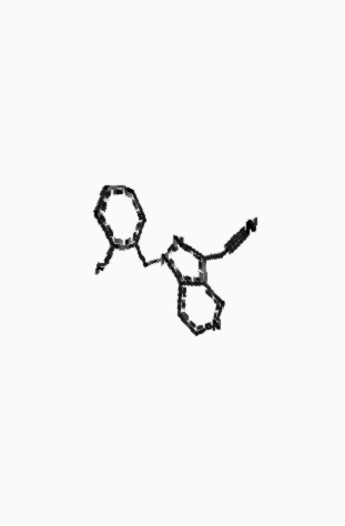 N#Cc1nn(Cc2ccccc2F)c2ccncc12